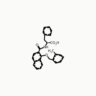 Cc1ccccc1COc1c(C(=O)N[C@@H](Cc2ccccc2)C(=O)O)ccc2ccccc12